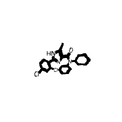 Cc1[nH]c(-c2ccc(Cl)cc2Cl)nc1C(=O)N(c1ccccc1)C1CCCCC1